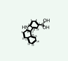 OB(O)c1ccc2[nH]c3ccc4ccccc4c3c2c1